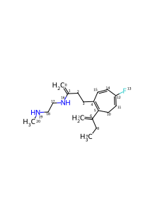 C=C(CCC1=C(C(=C)CC)CC=C(F)C=C1)NCCNC